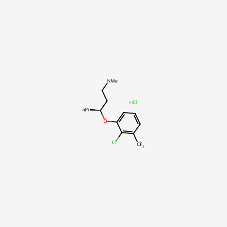 CCC[C@@H](CCNC)Oc1cccc(C(F)(F)F)c1Cl.Cl